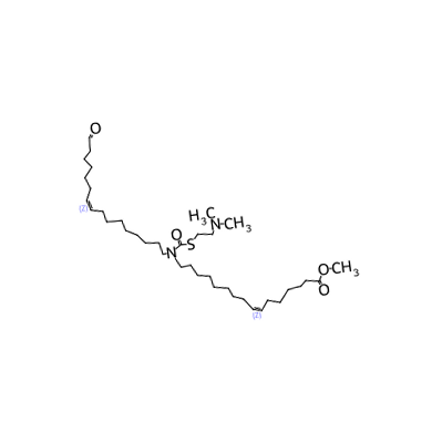 COC(=O)CCCCC/C=C\CCCCCCCCN(CCCCCCCC/C=C\CCCCCC=O)C(=O)SCCN(C)C